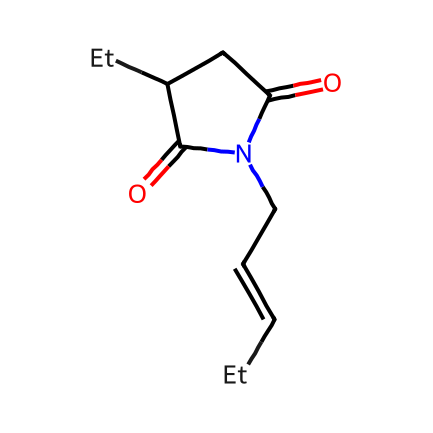 CCC=CCN1C(=O)CC(CC)C1=O